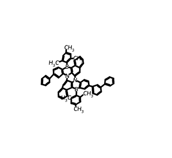 Cc1cc(C)c(B2c3cc(-c4cccc(-c5ccccc5)c4)ccc3N3c4cc5ccccc5c5c4N(c4cc(-c6ccccc6)ccc4B5c4c(C)cc(C)cc4C)c4cc5ccccc5c2c43)c(C)c1